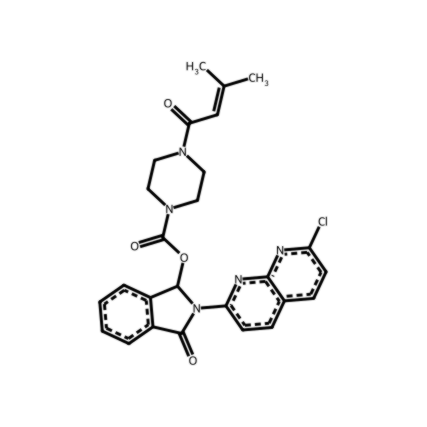 CC(C)=CC(=O)N1CCN(C(=O)OC2c3ccccc3C(=O)N2c2ccc3ccc(Cl)nc3n2)CC1